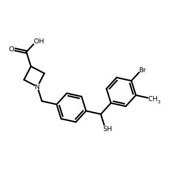 Cc1cc(C(S)c2ccc(CN3CC(C(=O)O)C3)cc2)ccc1Br